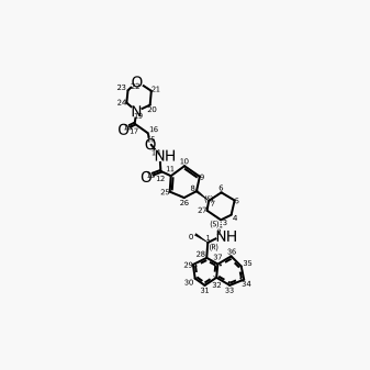 C[C@@H](N[C@H]1CCC[C@H](C2C=CC(C(=O)NOCC(=O)N3CCOCC3)=CC2)C1)c1cccc2ccccc12